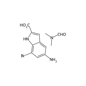 CN(C)C=O.Nc1cc(Br)c2[nH]c(C(=O)O)cc2c1